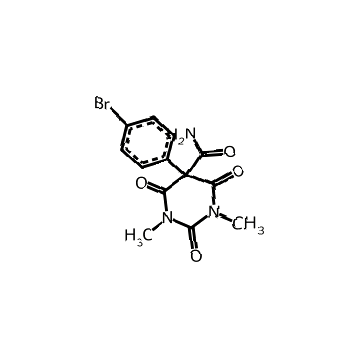 CN1C(=O)N(C)C(=O)C(C(N)=O)(c2ccc(Br)cc2)C1=O